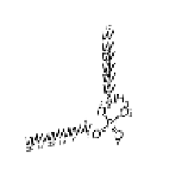 O=P([O-])([O-])[O-].[AlH3].[W].[W].[W].[W].[W].[W].[W].[W].[W].[W].[W].[W]